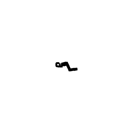 CC[CH]=[Cu]